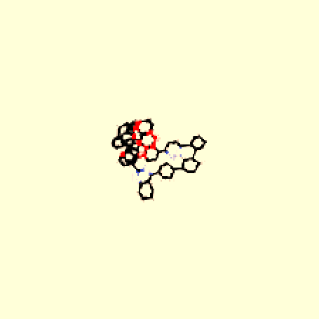 c1cc(-c2ccc(-c3nc(-c4cccc5c4Oc4ccccc4C54c5ccccc5-c5ccccc54)nc4ccccc34)cc2)cc(-c2ccccc2-c2ccc(-c3cccc4c3Oc3ccccc3C43c4ccccc4-c4ccccc43)nn2)c1